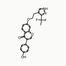 O=c1c(-c2ccc(O)cc2)coc2cc(OCCc3c[nH]nc3C(F)(F)F)ccc12